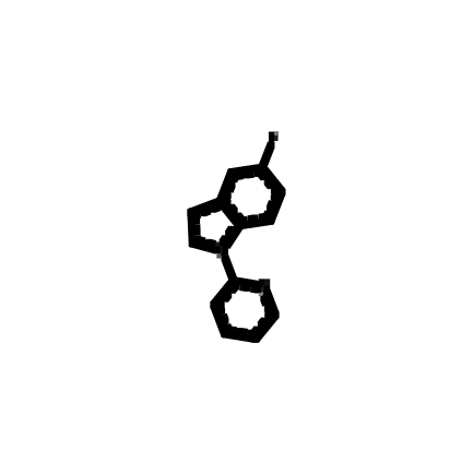 Fc1ccc2c(ccn2-c2ccccn2)c1